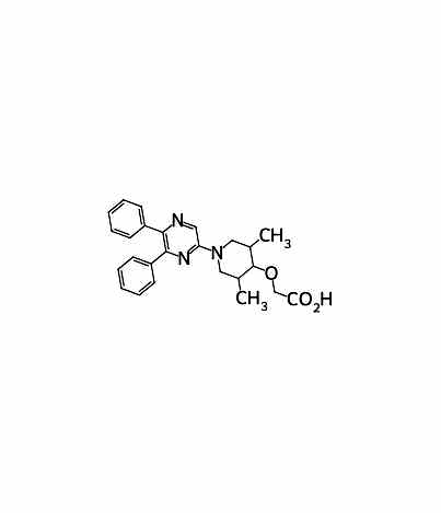 CC1CN(c2cnc(-c3ccccc3)c(-c3ccccc3)n2)CC(C)C1OCC(=O)O